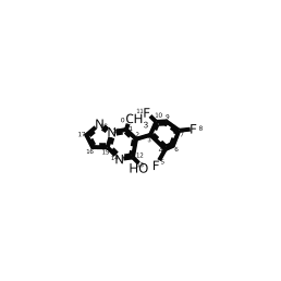 Cc1c(-c2c(F)cc(F)cc2F)c(O)nc2ccnn12